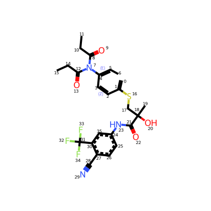 C=C(/C=C\C(=C/C)N(C(=O)CC)C(=O)CC)SCC(C)(O)C(=O)Nc1ccc(C#N)c(C(F)(F)F)c1